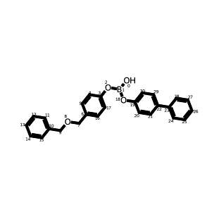 OB(Oc1ccc(COCc2ccccc2)cc1)Oc1ccc(-c2ccccc2)cc1